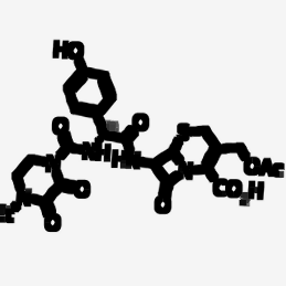 CCN1CCN(C(=O)N[C@@H](C(=O)NC2C(=O)N3C(C(=O)O)=C(COC(C)=O)CSC23)c2ccc(O)cc2)C(=O)C1=O